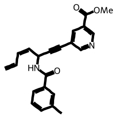 C=C/C=C\C(C#Cc1cncc(C(=O)OC)c1)NC(=O)c1cccc(C)c1